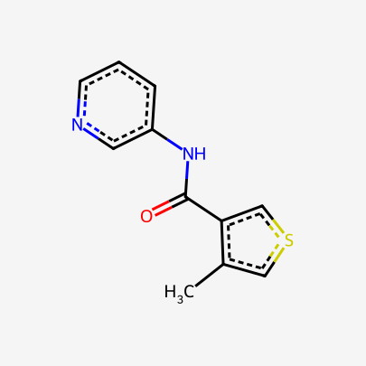 Cc1cscc1C(=O)Nc1cccnc1